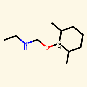 CCNCO[SiH]1C(C)CCCC1C